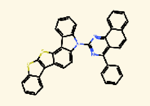 c1ccc(-c2nc(-n3c4ccccc4c4c5sc6sc7ccccc7c6c5ccc43)nc3c2ccc2ccccc23)cc1